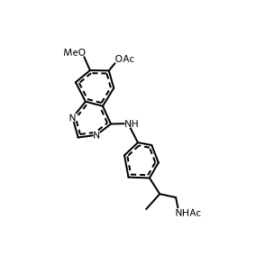 COc1cc2ncnc(Nc3ccc(C(C)CNC(C)=O)cc3)c2cc1OC(C)=O